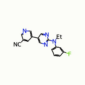 CCN(c1cccc(F)c1)c1ncc(-c2cncc(C#N)c2)cn1